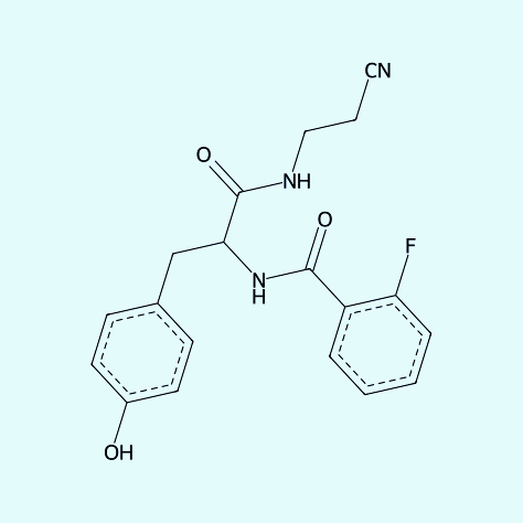 N#CCCNC(=O)C(Cc1ccc(O)cc1)NC(=O)c1ccccc1F